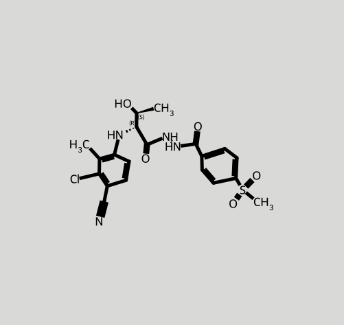 Cc1c(N[C@@H](C(=O)NNC(=O)c2ccc(S(C)(=O)=O)cc2)[C@H](C)O)ccc(C#N)c1Cl